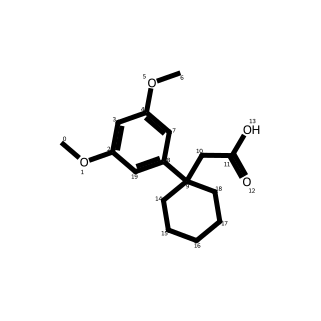 COc1cc(OC)cc(C2(CC(=O)O)CCCCC2)c1